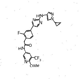 COc1ncc(NC(=O)Cc2ccc(-c3cnc(Nc4cnn(C5CC5)c4)nc3)cc2F)cc1C(F)(F)F